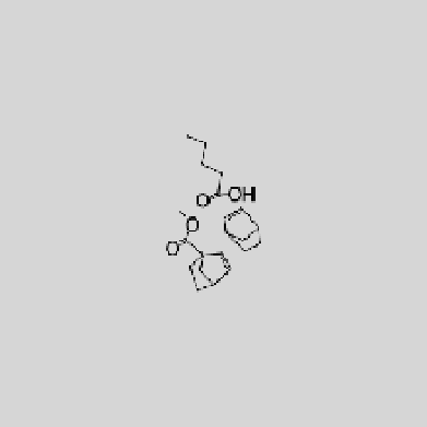 C1=CC2CCC1C2.CCCCC(=O)O.COC(=O)C12C=CC(CC1)C2